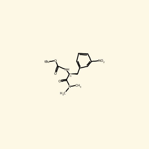 CN(C)C(=O)[C@H](Cc1cccc([N+](=O)[O-])c1)NC(=O)OC(C)(C)C